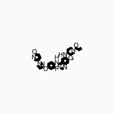 C=CC(=O)N1CCC(Nc2cc3c(Nc4ccc(Oc5ccn(-c6ccc(OC)nc6)n5)cc4F)ncnc3cc2OC)CC1